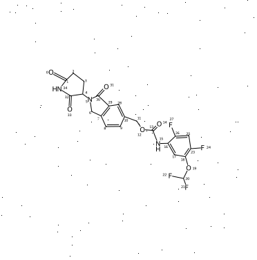 O=C1CCC(N2Cc3ccc(COC(=O)Nc4cc(OC(F)F)c(F)cc4F)cc3C2=O)C(=O)N1